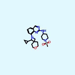 CS(=O)(=O)N1CCC(Nc2ncc3cccc(N4CC5(CCOCC5)C4C4CC4)c3n2)CC1